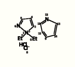 CC[N+]1(CC)C=CC=N1.Cl.[Cl-].c1ccncc1